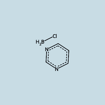 BCl.c1cncnc1